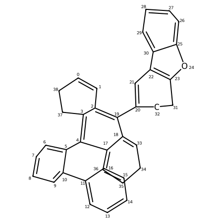 C1=Cc2c(c(-c3ccccc3-c3ccccc3)c3c(c2C2=Cc4c(oc5ccccc45)CC2)=CCCC=3)CC1